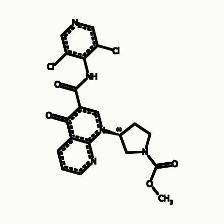 COC(=O)N1CC[C@H](n2cc(C(=O)Nc3c(Cl)cncc3Cl)c(=O)c3cccnc32)C1